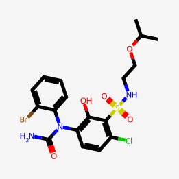 CC(C)OCCNS(=O)(=O)c1c(Cl)ccc(N(C(N)=O)c2ccccc2Br)c1O